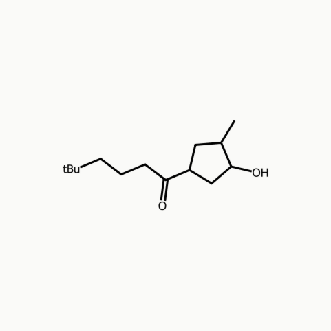 CC1CC(C(=O)CCCC(C)(C)C)CC1O